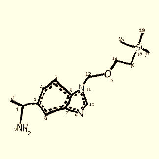 CC(N)c1ccc2c(c1)ncn2COCC[Si](C)(C)C